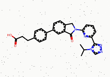 CC(C)n1cnnc1-c1cccc(N2Cc3ccc(-c4ccc(CCC(=O)O)cc4)cc3C2=O)n1